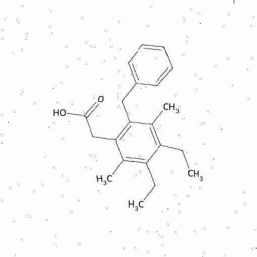 CCc1c(C)c(CC(=O)O)c(Cc2ccccc2)c(C)c1CC